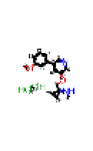 CNC1(COc2cncc(-c3cccc(OC)c3)c2)CC1.Cl.Cl